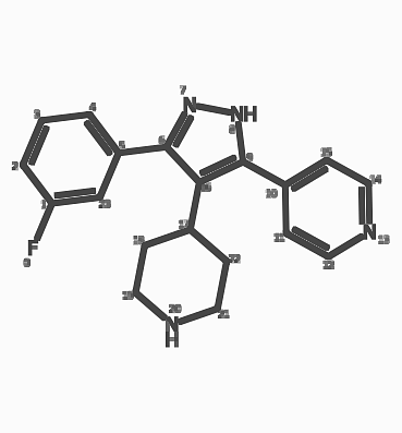 Fc1cccc(-c2n[nH]c(-c3ccncc3)c2C2CCNCC2)c1